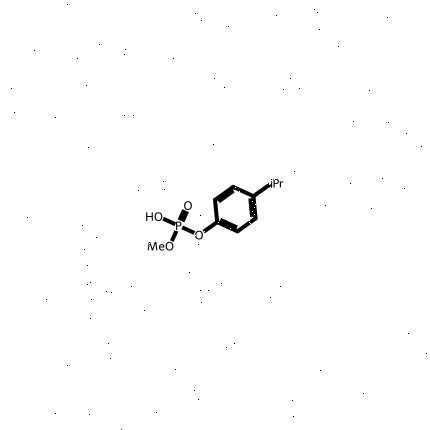 COP(=O)(O)Oc1ccc(C(C)C)cc1